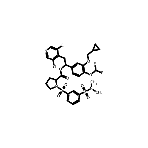 CN(C)S(=O)(=O)c1cccc(S(=O)(=O)N2CCCC2C(=O)OC(Cc2c(Cl)cncc2Cl)c2ccc(OC(F)F)c(OCC3CC3)c2)c1